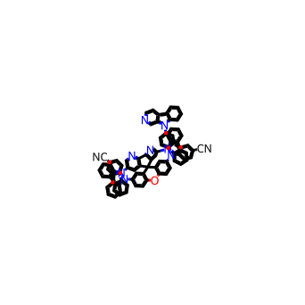 N#Cc1ccc2c(c1)c1ccccc1n2-c1ccc2c(c1)C1(c3cc(-n4c5ccc(C#N)cc5c5cc(-n6c7ccccc7c7ccncc76)ccc54)ccc3O2)c2cc(-n3c4ccccc4c4ccccc43)cnc2-c2ncc(-n3c4ccccc4c4ccccc43)cc21